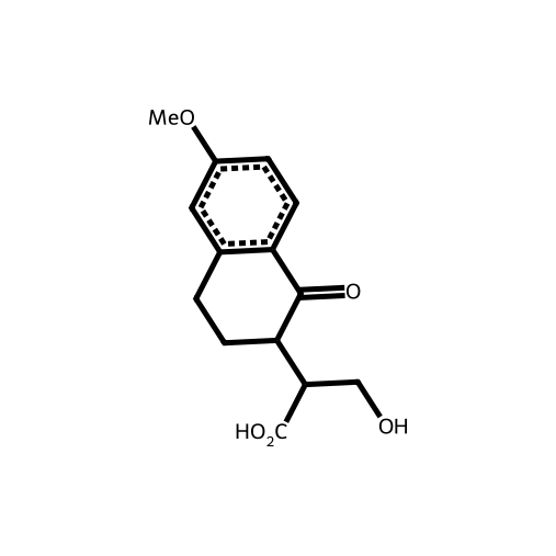 COc1ccc2c(c1)CCC(C(CO)C(=O)O)C2=O